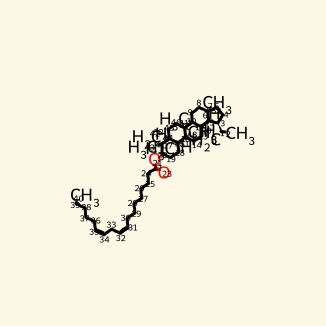 C=C(C)[C@@H]1CC[C@]2(C)CC[C@]3(C)[C@H](CC[C@@H]4[C@@]5(C)CCC(OC(=O)CCCCCCC/C=C\C/C=C\CCCCC)C(C)(C)[C@@H]5CC[C@]43C)[C@@H]12